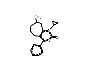 CC1CCCc2c(-c3ccccc3)nc(=O)n(C3CC3)c2C1